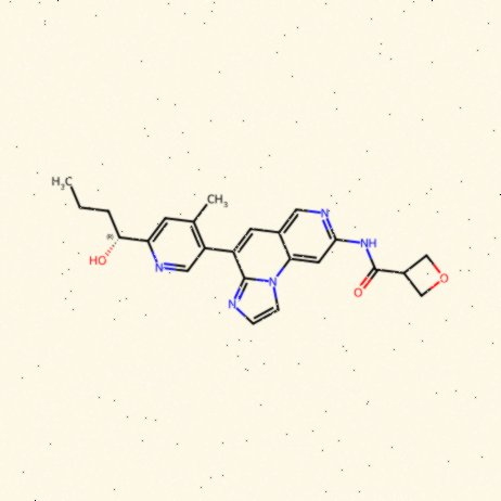 CCC[C@@H](O)c1cc(C)c(-c2cc3cnc(NC(=O)C4COC4)cc3n3ccnc23)cn1